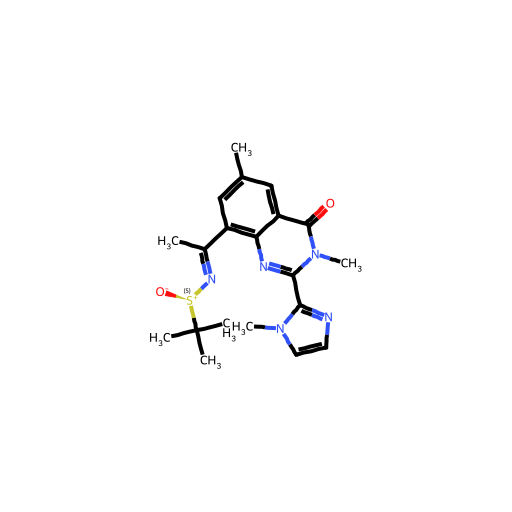 CC(=N[S@+]([O-])C(C)(C)C)c1cc(C)cc2c(=O)n(C)c(-c3nccn3C)nc12